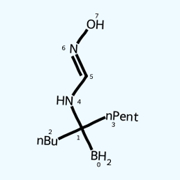 BC(CCCC)(CCCCC)NC=NO